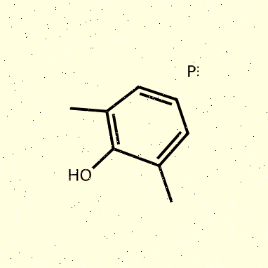 Cc1cccc(C)c1O.[P]